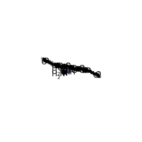 C=CC(=O)OCCCCCCOc1ccc(OC(=O)C2CCC(C(=O)Oc3ccc(OC(=O)C4CCC(C(=O)Oc5ccc(OCCCCCCOC(=O)C=C)cc5)CC4)c(/C=N/Nc4nc(N)c(N)s4)c3)CC2)cc1